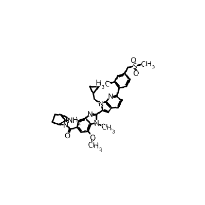 COc1cc(C(=O)N2CC3CCC2C3N)cc2nc(-c3cc4ccc(-c5ccc(CS(C)(=O)=O)cc5C)nc4n3CC3CC3)n(C)c12